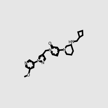 COc1cncc(-n2cc(Cn3ccc(N4CCC[C@@H](NCC5CCC5)C4)cc3=O)cn2)c1